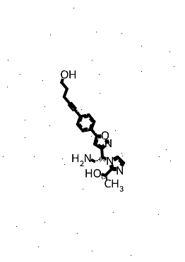 C[C@H](O)c1nccn1[C@H](CN)c1cc(-c2ccc(C#CCCCO)cc2)on1